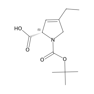 CCC1=C[C@@H](C(=O)O)N(C(=O)OC(C)(C)C)C1